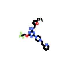 Cc1ccc(CNc2nc(OCC(F)(F)F)nc(N3CCN(CCc4ccccn4)CC3)n2)o1